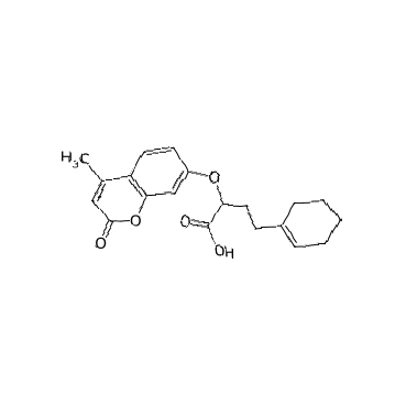 Cc1cc(=O)oc2cc(OC(CCC3=CCCCC3)C(=O)O)ccc12